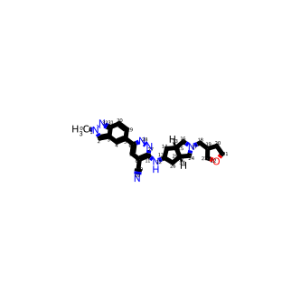 Cn1cc2cc(-c3cc(C#N)c(NC4C[C@@H]5CN(CC6CCOC6)C[C@@H]5C4)nn3)ccc2n1